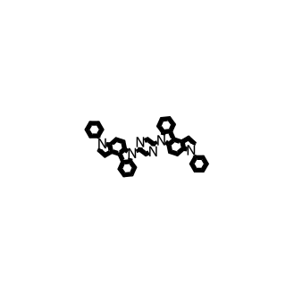 c1ccc(-n2ccc3c4c5ccccc5n(-c5cnc(-n6c7ccccc7c7c8ccn(-c9ccccc9)c8ccc76)cn5)c4ccc32)cc1